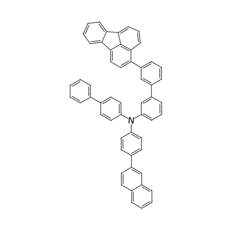 c1ccc(-c2ccc(N(c3ccc(-c4ccc5ccccc5c4)cc3)c3cccc(-c4cccc(-c5ccc6c7c(cccc57)-c5ccccc5-6)c4)c3)cc2)cc1